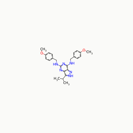 COc1ccc(CNc2nc(NCc3ccc(OC)cc3)c3n[nH]c(C(C)C)c3n2)cc1